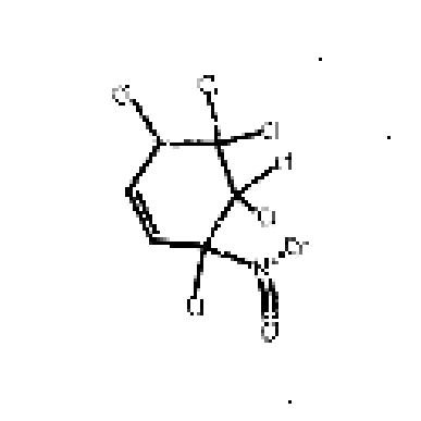 O=[N+]([O-])C1(Cl)C=CC(Cl)C(Cl)(Cl)C1(Cl)Cl